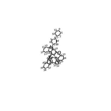 c1ccc(-c2ccc(-n3c4ccccc4c4cc5c(cc43)Oc3ccccc3C53c4ccccc4-n4c5ccccc5c5cccc3c54)cc2)cc1